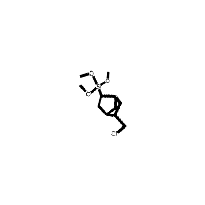 CO[Si](OC)(OC)C1CC2CC1CC2CCl